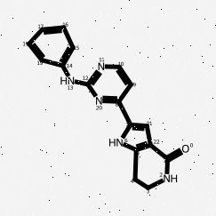 O=C1NCCc2[nH]c(-c3ccnc(Nc4ccccc4)n3)cc21